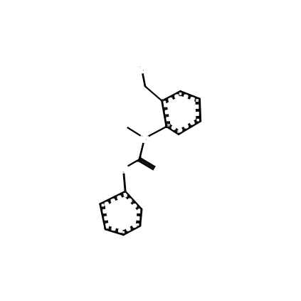 NCc1ccccc1N(O)C(=O)Oc1ccccc1